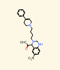 O=CC(=O)C1c2cc([N+](=O)[O-])ccc2NCN1CCCCN1CC=C(c2ccccc2)CC1